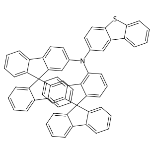 c1ccc2c(c1)-c1ccccc1C21c2ccccc2-c2ccc(N(c3ccc4sc5ccccc5c4c3)c3cccc4c3-c3ccccc3C43c4ccccc4-c4ccccc43)cc21